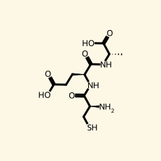 C[C@H](NC(=O)[C@H](CCC(=O)O)NC(=O)[C@@H](N)CS)C(=O)O